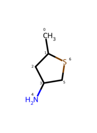 CC1CC(N)CS1